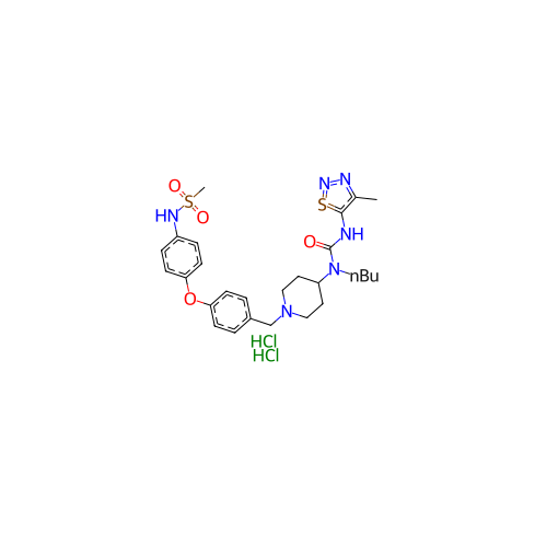 CCCCN(C(=O)Nc1snnc1C)C1CCN(Cc2ccc(Oc3ccc(NS(C)(=O)=O)cc3)cc2)CC1.Cl.Cl